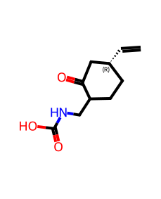 C=C[C@@H]1CCC(CNC(=O)O)C(=O)C1